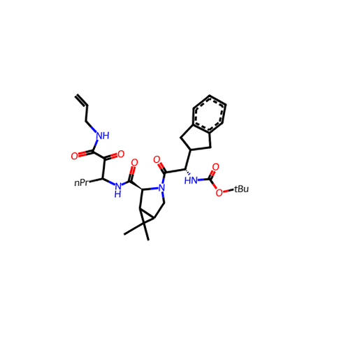 C=CCNC(=O)C(=O)C(CCC)NC(=O)[C@@H]1C2C(CN1C(=O)[C@@H](NC(=O)OC(C)(C)C)C1Cc3ccccc3C1)C2(C)C